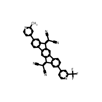 Cc1cc(-c2ccc3c(c2)C(=C(C#N)C#N)c2cc4c(cc2-3)C(=C(C#N)C#N)c2cc(-c3ccnc(C(F)(F)F)c3)ccc2-4)ccn1